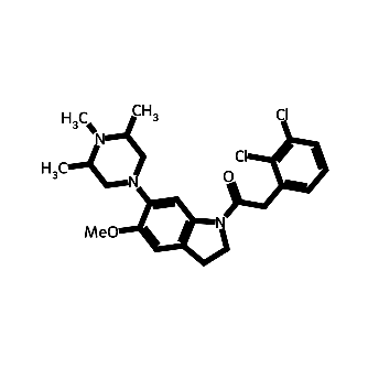 COc1cc2c(cc1N1CC(C)N(C)C(C)C1)N(C(=O)Cc1cccc(Cl)c1Cl)CC2